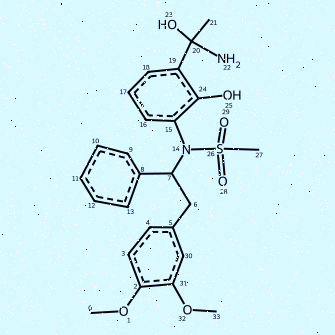 COc1ccc(CC(c2ccccc2)N(c2cccc(C(C)(N)O)c2O)S(C)(=O)=O)cc1OC